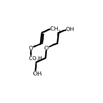 CC=COC(=O)O.OCCOCCO